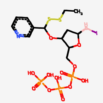 CCSSC(OC1CC(BI)OC1COP(=O)(O)OP(=O)(O)OP(=O)(O)O)c1cccnc1